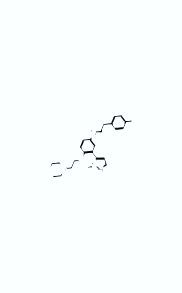 Cn1nccc1-c1cc(NC(=O)Cc2ccc(F)cc2)ccc1OCCN1CCOCC1